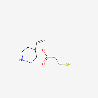 C=CC1(OC(=O)CCS)CCNCC1